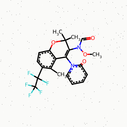 CON(C=O)C1=C(n2ccccc2=O)c2c(ccc(C(F)(F)C(F)(F)F)c2C)OC1(C)C